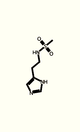 CS(=O)(=O)NCCc1cnc[nH]1